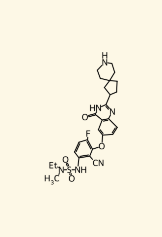 CCN(C)S(=O)(=O)Nc1ccc(F)c(Oc2ccc3nc(C4CCC5(CCNCC5)C4)[nH]c(=O)c3c2)c1C#N